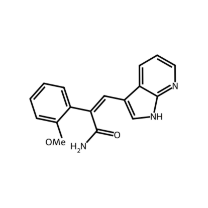 COc1ccccc1/C(=C/c1c[nH]c2ncccc12)C(N)=O